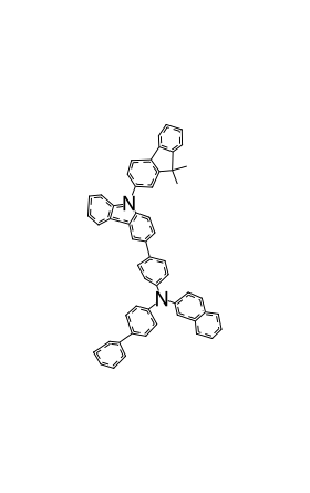 CC1(C)c2ccccc2-c2ccc(-n3c4ccccc4c4cc(-c5ccc(N(c6ccc(-c7ccccc7)cc6)c6ccc7ccccc7c6)cc5)ccc43)cc21